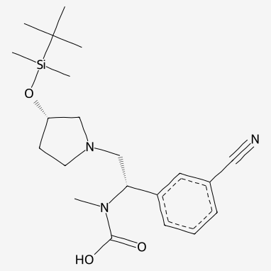 CN(C(=O)O)[C@H](CN1CC[C@H](O[Si](C)(C)C(C)(C)C)C1)c1cccc(C#N)c1